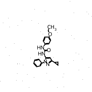 CCOc1ccc(NC(=O)Nc2cc(C3CC3)nn2-c2ccccc2)cc1